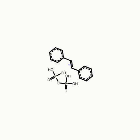 C(=C\c1ccccc1)/c1ccccc1.O=P(O)(O)OP(=O)(O)O